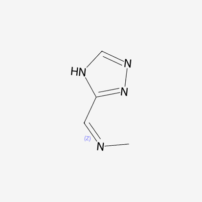 C/N=C\c1nnc[nH]1